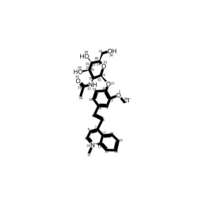 COc1cc(C=Cc2cc[n+](C)c3ccccc23)ccc1O[C@@H]1O[C@H](CO)[C@@H](O)[C@H](O)[C@H]1NC(C)=O.[I-]